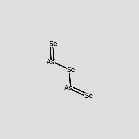 [Se]=[As][Se][As]=[Se]